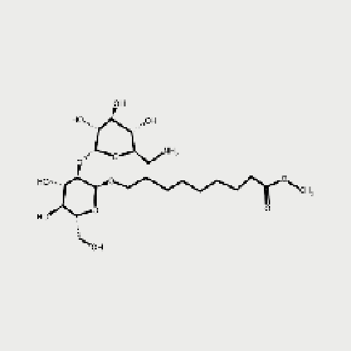 COC(=O)CCCCCCCCO[C@H]1O[C@H](CO)[C@@H](O)[C@H](O)[C@H]1O[C@H]1O[C@H](CN)[C@@H](O)[C@H](O)[C@H]1O